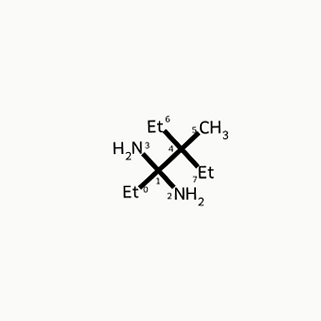 CCC(N)(N)C(C)(CC)CC